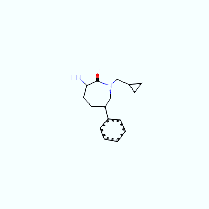 NC1CCC(c2ccccc2)CN(CC2CC2)C1=O